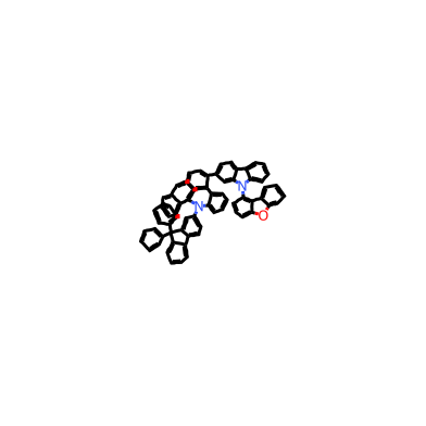 c1ccc(C2(c3ccccc3)c3ccccc3-c3ccc(N(c4ccccc4-c4ccccc4-c4ccc5c6ccccc6n(-c6cccc7oc8ccccc8c67)c5c4)c4cccc5ccccc45)cc32)cc1